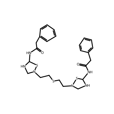 O=C(Cc1ccccc1)NC1NCN(CCSCCN2CNC(NC(=O)Cc3ccccc3)S2)S1